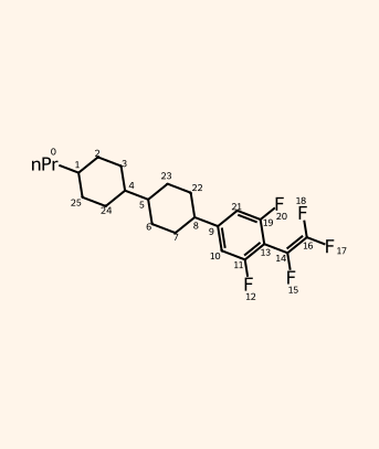 CCCC1CCC(C2CCC(c3cc(F)c(C(F)=C(F)F)c(F)c3)CC2)CC1